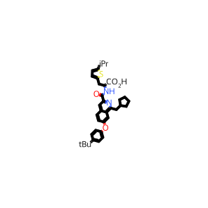 CC(C)c1ccc(CC(NC(=O)c2cc3ccc(Oc4ccc(C(C)(C)C)cc4)cc3c(CC3CCCC3)n2)C(=O)O)s1